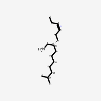 CC/C=C\CC[C@@H](CN)CCCCCC(C)C